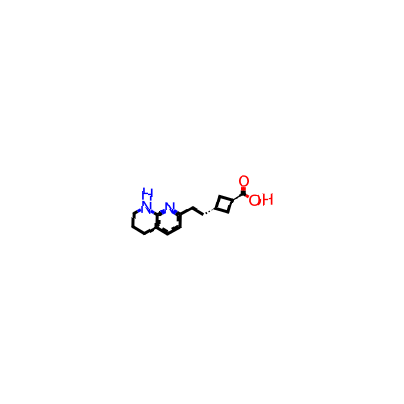 O=C(O)[C@H]1C[C@H](CCc2ccc3c(n2)NCCC3)C1